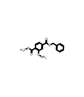 COC(=O)c1ccc(C(=O)OCc2ccccc2)cc1ON